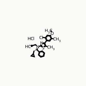 C#CCN(c1nc(-c2cc(C)c(OC)cc2Cl)c(C)s1)[C@@H](CC1CC1)c1ccccc1.Cl